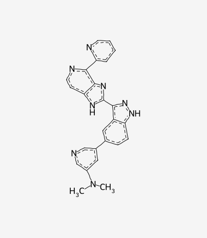 CN(C)c1cncc(-c2ccc3[nH]nc(-c4nc5c(-c6ccccn6)nccc5[nH]4)c3c2)c1